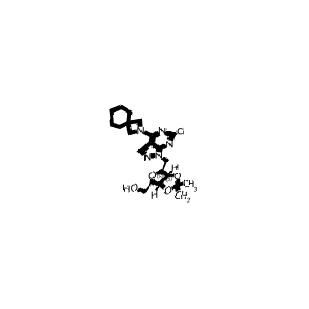 CC1(C)O[C@@H]2[C@H](O1)[C@@H](CO)O[C@H]2Cn1ncc2c(N3CC4(CCCCC4)C3)nc(Cl)nc21